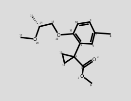 COC(=O)C1(c2cc(C)ccc2OC[C@@H](C)OC)CC1